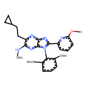 CCOc1cccc(-c2nc3nc(CCC4CC4)c(NSC)nc3n2-c2c(OC)cccc2OC)n1